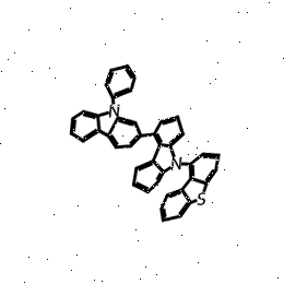 c1ccc(-n2c3ccccc3c3ccc(-c4cccc5c4c4ccccc4n5-c4cccc5sc6ccccc6c45)cc32)cc1